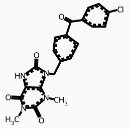 Cn1c(=O)c2[nH]c(=O)n(Cc3ccc(C(=O)c4ccc(Cl)cc4)cc3)c2n(C)c1=O